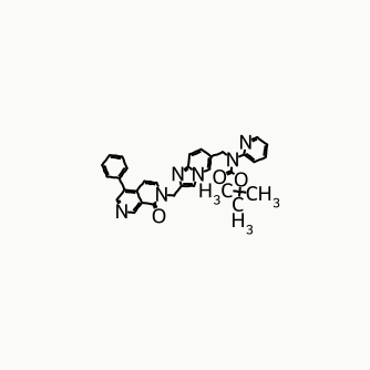 CC(C)(C)OC(=O)N(Cc1ccc2nc(Cn3ccc4c(-c5ccccc5)cncc4c3=O)cn2c1)c1ccccn1